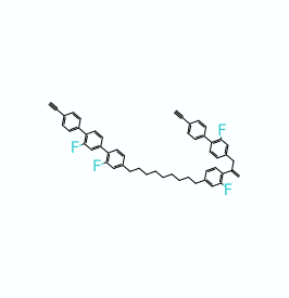 C#Cc1ccc(-c2ccc(CC(=C)c3ccc(CCCCCCCCCc4ccc(-c5ccc(-c6ccc(C#C)cc6)c(F)c5)c(F)c4)cc3F)cc2F)cc1